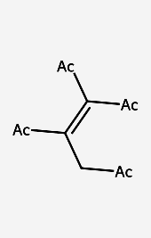 CC(=O)CC(C(C)=O)=C(C(C)=O)C(C)=O